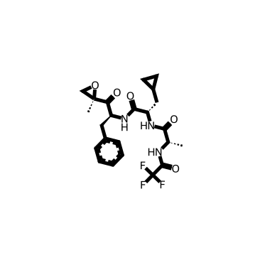 C[C@H](NC(=O)C(F)(F)F)C(=O)N[C@@H](CC1CC1)C(=O)N[C@@H](Cc1ccccc1)C(=O)[C@@]1(C)CO1